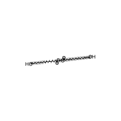 O=C(CCCCCCCCCCCCCCCCCO)OCCOC(=O)CCCCCCCCCCCCCCCCCO